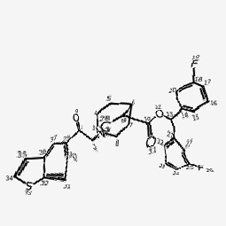 O=C(C[N+]12CCC(CC1)C(C(=O)OC(c1cccc(F)c1)c1cccc(F)c1)C2)c1ccc2sccc2c1